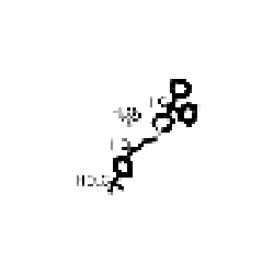 CC(C)(C(=O)O)c1ccc(C(O)CCCN2CCC(C(O)(c3ccccc3)c3ccccc3)CC2)cc1.O.O